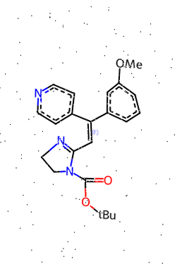 COc1cccc(/C(=C/C2=NCCN2C(=O)OC(C)(C)C)c2ccncc2)c1